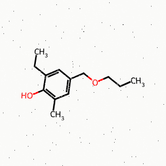 CCCOCc1cc(C)c(O)c(CC)c1